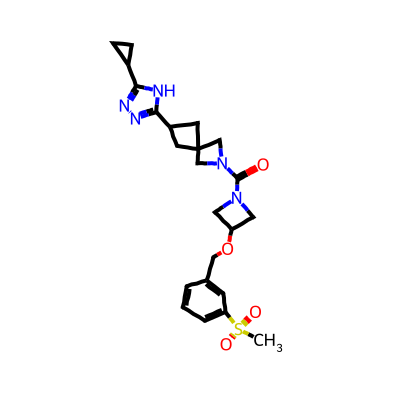 CS(=O)(=O)c1cccc(COC2CN(C(=O)N3CC4(CC(c5nnc(C6CC6)[nH]5)C4)C3)C2)c1